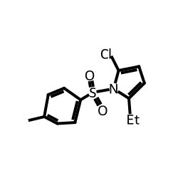 CCc1ccc(Cl)n1S(=O)(=O)c1ccc(C)cc1